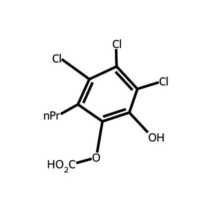 CCCc1c(Cl)c(Cl)c(Cl)c(O)c1OC(=O)O